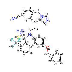 N#Cc1ccc(Cn2cncc2CCCN(c2ccc(OCc3ccccc3)cc2)C(C(N)=S)c2ccccc2C(F)(F)F)cc1